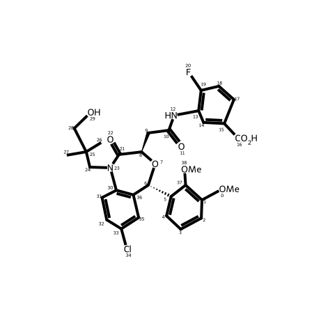 COc1cccc([C@H]2O[C@H](CC(=O)Nc3cc(C(=O)O)ccc3F)C(=O)N(CC(C)(C)CO)c3ccc(Cl)cc32)c1OC